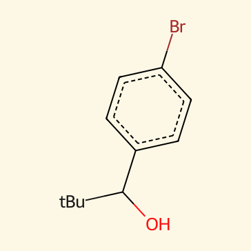 CC(C)(C)C(O)c1ccc(Br)cc1